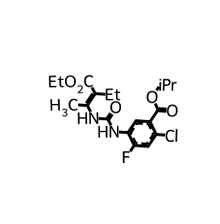 CCOC(=O)C(CC)=C(C)NC(=O)Nc1cc(C(=O)OC(C)C)c(Cl)cc1F